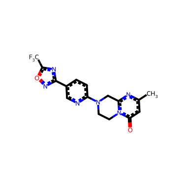 Cc1cc(=O)n2c(n1)CN(c1ccc(-c3noc(C(F)(F)F)n3)cn1)CC2